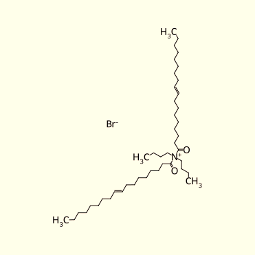 CCCCCCCCC=CCCCCCCCC(=O)[N+](CCCC)(CCCC)C(=O)CCCCCCCC=CCCCCCCCC.[Br-]